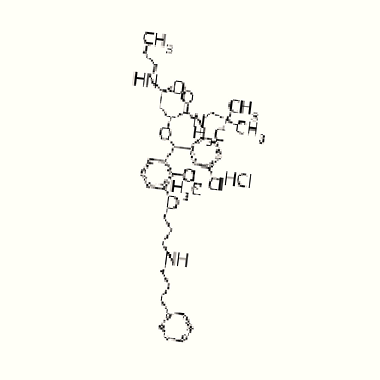 CCCNC(=O)CC1OC(c2cccc(OCCCNCCCc3ccccc3)c2OC)c2cc(Cl)ccc2N(CC(C)(C)C)C1=O.Cl